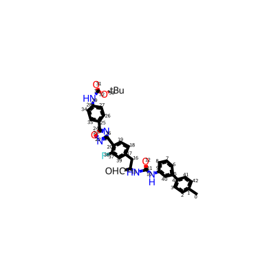 Cc1ccc(-c2cccc(NC(=O)NC(C=O)Cc3ccc(-c4noc(-c5ccc(NC(=O)OC(C)(C)C)cc5)n4)c(F)c3)c2)cc1